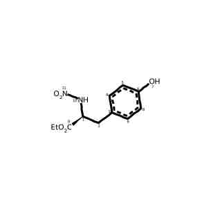 CCOC(=O)[C@H](Cc1ccc(O)cc1)N[N+](=O)[O-]